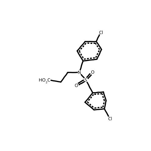 O=C(O)CCN(c1ccc(Cl)cc1)S(=O)(=O)c1ccc(Cl)cc1